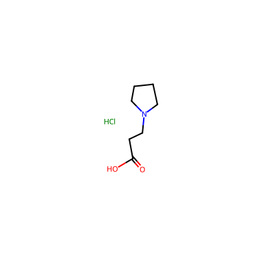 Cl.O=C(O)CCN1CCCC1